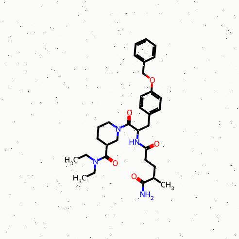 CCN(CC)C(=O)C1CCCN(C(=O)C(Cc2ccc(OCc3ccccc3)cc2)NC(=O)[CH]CC(C)C(N)=O)C1